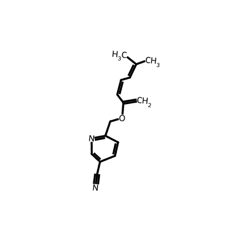 C=C(/C=C\C=C(C)C)OCc1ccc(C#N)cn1